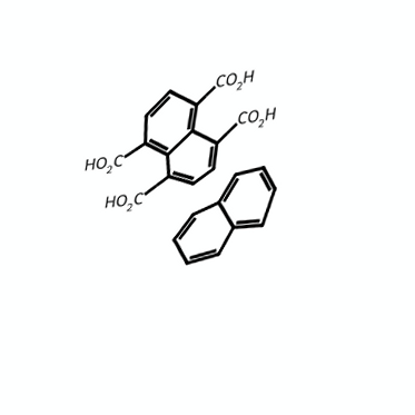 O=C(O)c1ccc(C(=O)O)c2c(C(=O)O)ccc(C(=O)O)c12.c1ccc2ccccc2c1